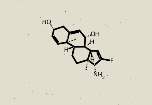 C[C@]12CC[C@H]3[C@@H]([C@@H](O)C=C4C[C@@H](O)C=C[C@@]43C)[C@@H]1C=C(F)[C@@H]2N